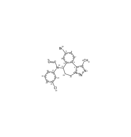 Cc1nnn2c1-c1ccc(Br)cc1C(N(C=O)c1cccc(Cl)c1)CC2